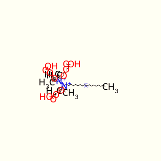 C=CC[N+](CCCCCCCC/C=C/CCCCCCCC)(CC[N+](CC=C)(CC(C)OCCOCC(=O)O)CC(C)OCCOCC(=O)O)CC(C)OCCOCC(=O)O